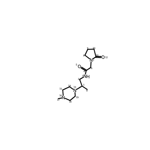 CC(CNC(=O)CN1CCCC1=O)N1CCN(C)CC1